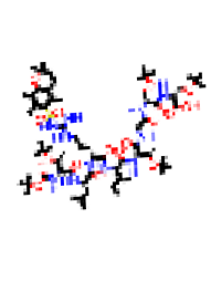 CC[C@H](C)[C@H](NC(=O)[C@@H](CCCNC(=N)NS(=O)(=O)c1c(C)c(C)c2c(c1C)CCC(C)(C)O2)NC(=O)[C@H](CC(C)C)NC(=O)[C@@H](NC(=O)OC(C)(C)C)[C@@H](C)OC(C)(C)C)C(=O)N[C@H](C(=O)NCC(=O)N[C@@H](COC(C)(C)C)C(=O)N[C@@H](COC(C)(C)C)C(=O)O)[C@H](C)OC(C)(C)C